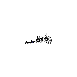 CC(C)=CCC/C(C)=C/COc1ccc2c(O)c(O[C@H]3O[C@H](CO)[C@@H](O)[C@H](O)[C@@H]3O)c(=O)oc2c1